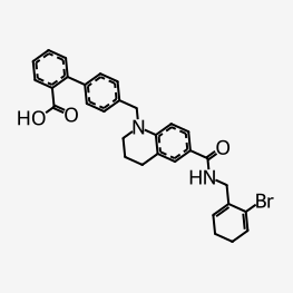 O=C(NCC1=CCCC=C1Br)c1ccc2c(c1)CCCN2Cc1ccc(-c2ccccc2C(=O)O)cc1